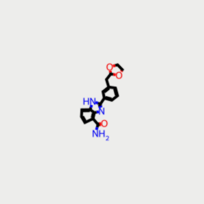 NC(=O)c1cccc2[nH]c(-c3cccc(CC4OCCO4)c3)nc12